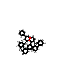 c1ccc(-c2cccc(N(c3ccccc3-c3ccccc3-n3c4ccccc4c4ccccc43)c3cccc4oc5ccccc5c34)c2)cc1